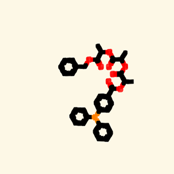 CC(OC(=O)c1ccc(P(c2ccccc2)c2ccccc2)cc1)C(=O)OC(C)C(=O)OC(C)C(=O)OCc1ccccc1